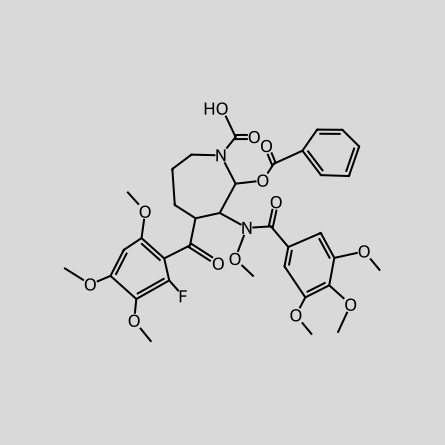 COc1cc(C(=O)N(OC)C2C(C(=O)c3c(OC)cc(OC)c(OC)c3F)CCCN(C(=O)O)C2OC(=O)c2ccccc2)cc(OC)c1OC